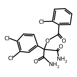 NC(=O)C(OC(=O)c1ccccc1Cl)(C(N)=O)c1ccc(Cl)c(Cl)c1